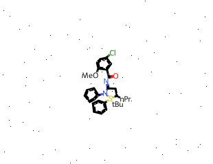 CCCC1CC(=NC(=O)c2cc(Cl)ccc2OC)N(c2ccccc2)S1(c1ccccc1)C(C)(C)C